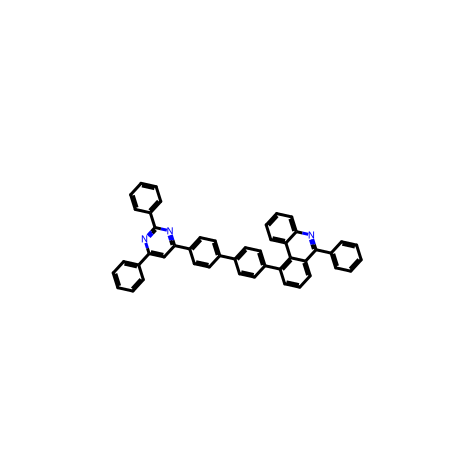 c1ccc(-c2cc(-c3ccc(-c4ccc(-c5cccc6c(-c7ccccc7)nc7ccccc7c56)cc4)cc3)nc(-c3ccccc3)n2)cc1